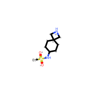 CCS(=O)(=O)NC1CCC2(CC1)CNC2